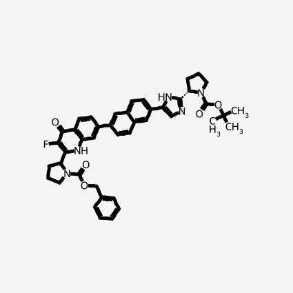 CC(C)(C)OC(=O)N1CCC[C@H]1c1ncc(-c2ccc3cc(-c4ccc5c(=O)c(F)c(C6CCCN6C(=O)OCc6ccccc6)[nH]c5c4)ccc3c2)[nH]1